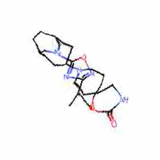 CC(C)c1noc(N2C3CCC2CC(N2CCC4(CC2)CNC(=O)O4)C3)n1